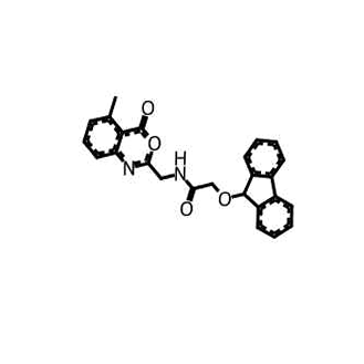 Cc1cccc2nc(CNC(=O)COC3c4ccccc4-c4ccccc43)oc(=O)c12